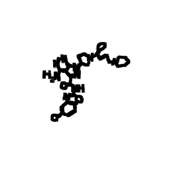 Nc1ncnc2c1c(C(=O)Nc1nc3cc(Cl)ccc3o1)nn2C1CCN(C(=O)C=CCN2CCCCC2)C1